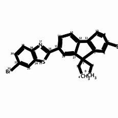 CCC1(CC)c2cc(Br)ccc2-c2ccc(-c3nc4ccc(Br)cc4s3)cc21